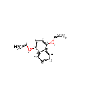 C=COc1ccc(OC=C)c2ccccc12